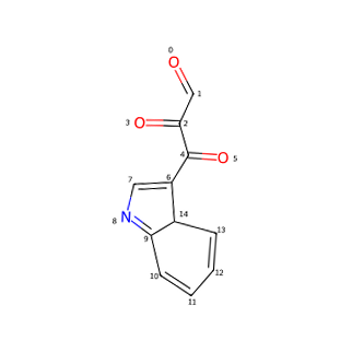 O=CC(=O)C(=O)C1=CN=C2C=CC=CC12